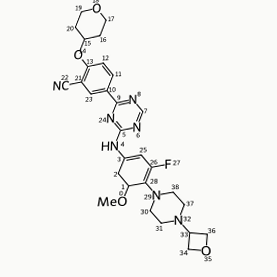 COC1CC(Nc2ncnc(-c3ccc(OC4CCOCC4)c(C#N)c3)n2)=CC(F)=C1N1CCN(C2COC2)CC1